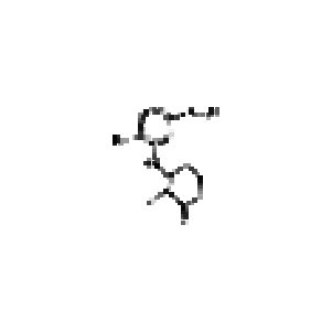 CC1=C(Nc2cc(C(=O)O)ccc2Br)CCCC1=O